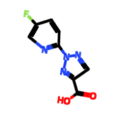 O=C(O)c1cnn(-c2ccc(F)cn2)n1